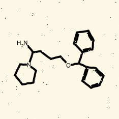 NC(CCCOC(c1ccccc1)c1ccccc1)N1CCCCC1